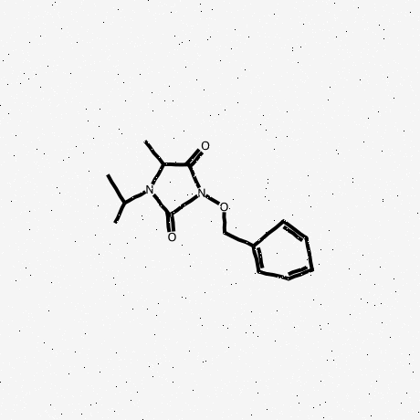 CC(C)N1C(=O)N(OCc2ccccc2)C(=O)C1C